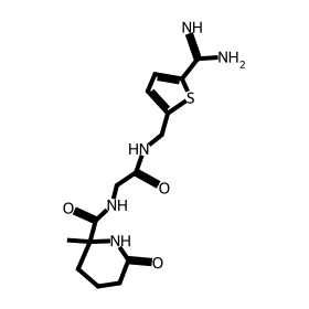 CC1(C(=O)NCC(=O)NCc2ccc(C(=N)N)s2)CCCC(=O)N1